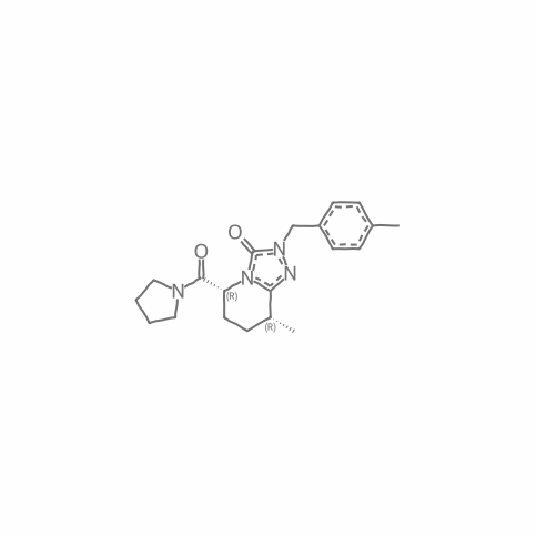 Cc1ccc(Cn2nc3n(c2=O)[C@@H](C(=O)N2CCCC2)CC[C@H]3C)cc1